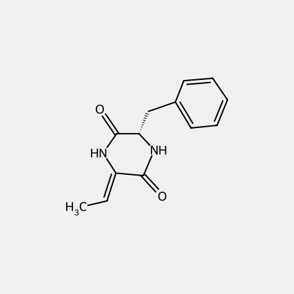 C/C=C1\NC(=O)[C@H](Cc2ccccc2)NC1=O